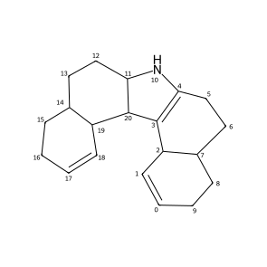 C1=CC2C3=C(CCC2CC1)NC1CCC2CCC=CC2C31